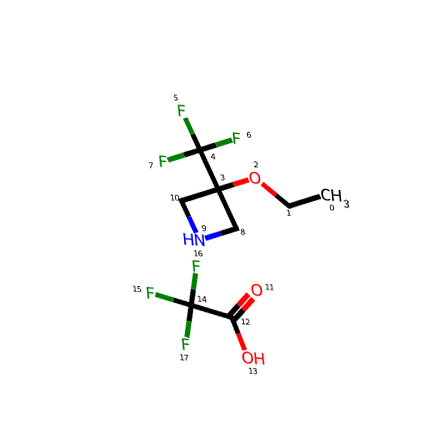 CCOC1(C(F)(F)F)CNC1.O=C(O)C(F)(F)F